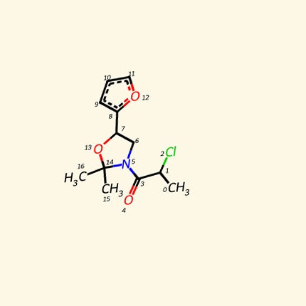 CC(Cl)C(=O)N1CC(c2ccco2)OC1(C)C